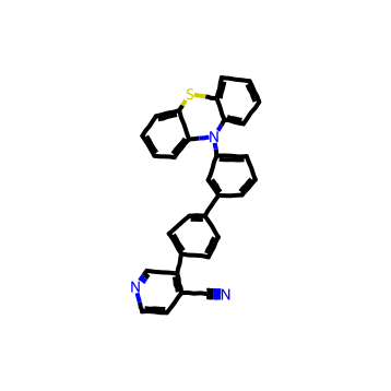 N#Cc1ccncc1-c1ccc(-c2cccc(N3c4ccccc4Sc4ccccc43)c2)cc1